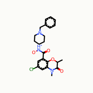 CC1Oc2c(C(=O)[NH+]([O-])C3CCN(Cc4ccccc4)CC3)cc(Cl)cc2N(C)C1=O